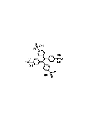 O=P(O)(O)c1ccc(C(=C(c2ccc(P(=O)(O)O)cc2)c2ccc(P(=O)(O)O)cc2)c2ccc(P(=O)(O)O)cc2)cc1